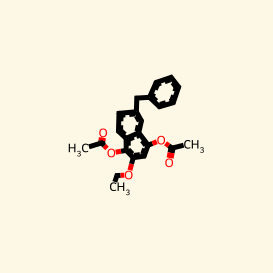 CCOc1cc(OC(C)=O)c2cc(Cc3ccccc3)ccc2c1OC(C)=O